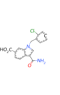 NC(=O)c1cn(Cc2ccccc2Cl)c2cc(C(=O)O)ccc12